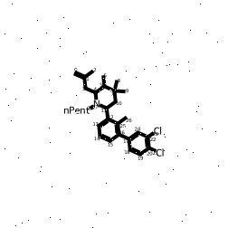 C=C(C)CC1C(C)C(C)(C)CC(c2cccc(-c3ccc(Cl)c(Cl)c3)c2C)N1CCCCC